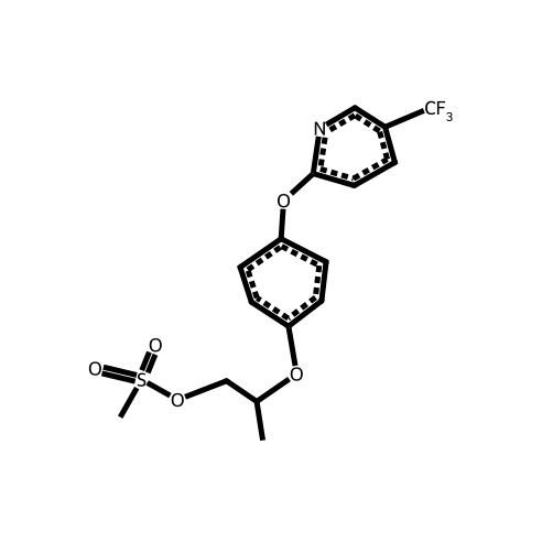 CC(COS(C)(=O)=O)Oc1ccc(Oc2ccc(C(F)(F)F)cn2)cc1